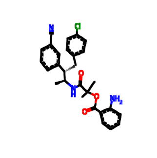 C[C@H](NC(=O)C(C)(C)OC(=O)c1ccccc1N)[C@@H](Cc1ccc(Cl)cc1)c1cccc(C#N)c1